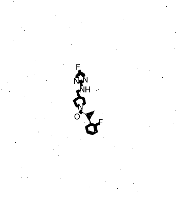 O=C([C@@H]1C[C@H]1C1CC=CC=C1F)N1CCC(CNc2ncc(F)cn2)CC1